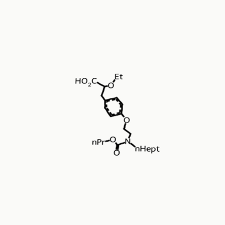 CCCCCCCN(CCOc1ccc(CC(OCC)C(=O)O)cc1)C(=O)OCCC